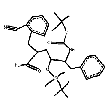 CC(C)(C)OC(=O)NC(Cc1ccccc1)C(CC(Cc1ccccc1C#N)C(=O)O)O[Si](C)(C)C(C)(C)C